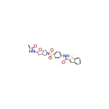 C=CC(=O)NC1CC2CN(S(=O)(=O)c3ccc(NC(=O)c4cc5ccccc5s4)cc3)CC2O1